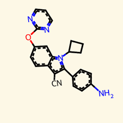 N#Cc1c(-c2ccc(N)cc2)n(C2CCC2)c2cc(Oc3ncccn3)ccc12